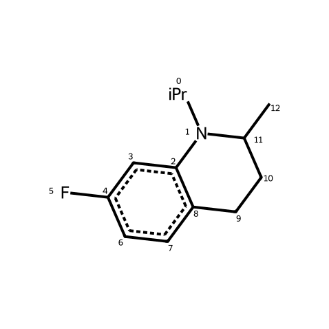 CC(C)N1c2cc(F)ccc2CCC1C